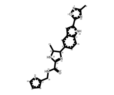 Cc1noc(-c2cc3cc(C4N=C(C(=O)NCc5cccs5)NC4C)ccc3[nH]2)n1